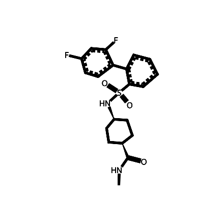 CNC(=O)[C@H]1CC[C@@H](NS(=O)(=O)c2ccccc2-c2ccc(F)cc2F)CC1